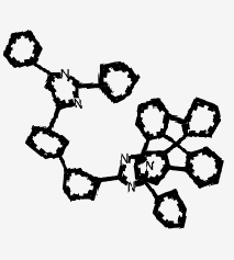 c1ccc(-c2cc(-c3cccc(-c4cccc(-c5nc(-c6ccccc6)nc(-c6cccc7c6C6(c8ccccc8-c8ccccc86)c6ccccc6-7)n5)c4)c3)nc(-c3ccccc3)n2)cc1